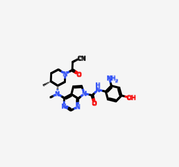 C[C@@H]1CCN(C(=O)CC#N)C[C@@H]1N(C)c1ncnc2c1ccn2C(=O)Nc1ccc(O)cc1N